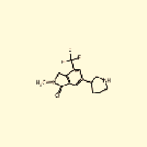 CN1Cc2c(cc(C3CCCNC3)cc2C(F)(F)F)C1=O